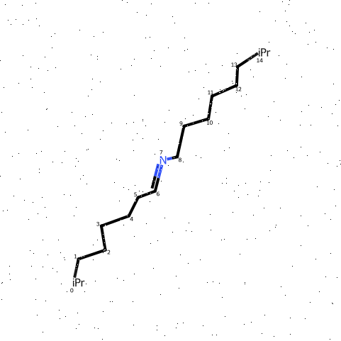 CC(C)CCCCCC=NCCCCCCC(C)C